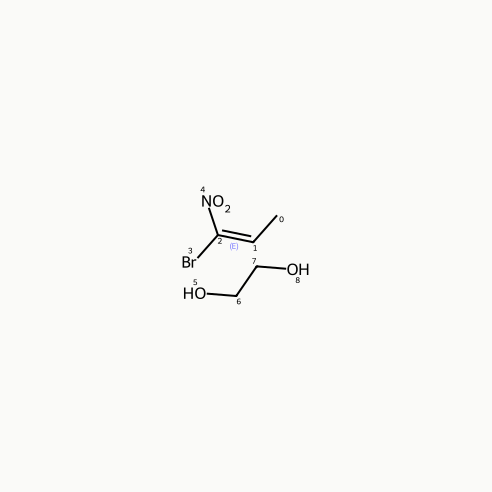 C/C=C(/Br)[N+](=O)[O-].OCCO